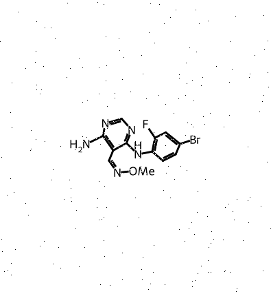 CO/N=C\c1c(N)ncnc1Nc1ccc(Br)cc1F